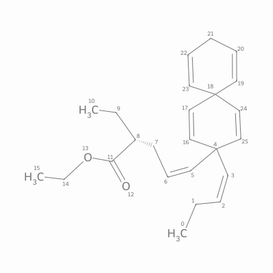 CC/C=C\C1(/C=C\C[C@@H](CC)C(=O)OCC)C=CC2(C=CCC=C2)C=C1